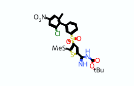 CSc1sc(C(=N)NC(=O)OC(C)(C)C)cc1S(=O)(=O)c1cccc(-c2c(C)cc([N+](=O)[O-])cc2Cl)c1